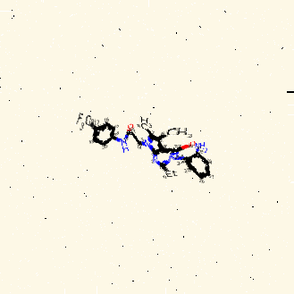 CCc1nc2c(c(C)c(C)n2CC(=O)Nc2ccc(C(F)(F)F)cc2)c(=O)n1-c1ccccc1N